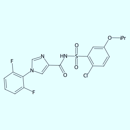 CC(C)Oc1ccc(Cl)c(S(=O)(=O)NC(=O)c2cn(-c3c(F)cccc3F)cn2)c1